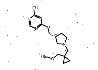 Cc1cc(OC[C@@H]2CCN(CC3(COC(C)(C)C)CC3)C2)ncn1